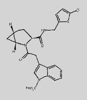 O=C(NCc1ccc(Cl)s1)[C@@H]1C[C@H]2C[C@H]2N1C(=O)Cc1cn(C(=O)O)c2ccccc12